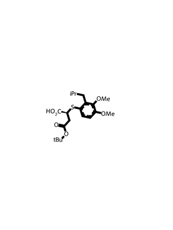 COc1ccc(S[C@@H](CC(=O)OC(C)(C)C)C(=O)O)c(CC(C)C)c1OC